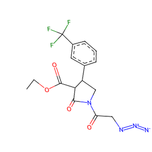 CCOC(=O)C1C(=O)N(C(=O)CN=[N+]=[N-])CC1c1cccc(C(F)(F)F)c1